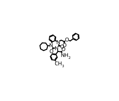 Cc1cccc(C(C(N)=O)N2C(=O)N(CC(=O)OCc3ccccc3)c3ccccc3N(C3CCCCCC3)C2=O)c1